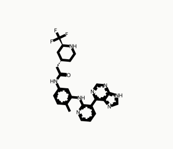 Cc1ccc(NC(=O)C[C@H]2CCN[C@H](C(F)(F)F)C2)cc1Nc1ncccc1-c1ncnc2[nH]cnc12